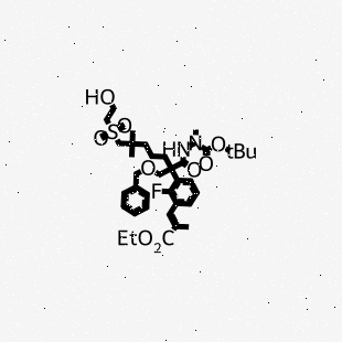 CCOC(=O)/C(C)=C/c1cccc(C(CCCC(C)(C)CS(=O)(=O)CCO)(COCc2ccccc2)C(=O)NN(C)C(=O)OC(C)(C)C)c1F